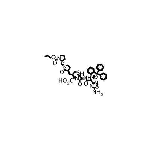 C=CCOC(=O)N1CCC[C@H]1CN1CCC(=CC2=C(C(=O)O)N3C(=O)[C@@H](NC(=O)C(=NOC(c4ccccc4)(c4ccccc4)c4ccccc4)c4nsc(N)n4)[C@H]3SC2)C1=O